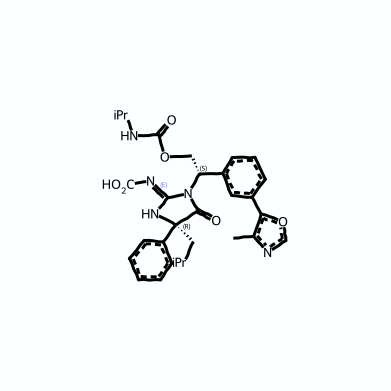 Cc1ncoc1-c1cccc([C@@H](COC(=O)NC(C)C)N2C(=O)[C@@](CC(C)C)(c3ccccc3)N/C2=N\C(=O)O)c1